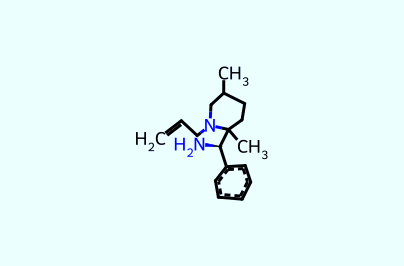 C=CCN1CC(C)CCC1(C)[C@H](N)c1ccccc1